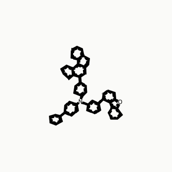 c1ccc(-c2ccc(N(c3ccc(-c4cc5ccc6ccccc6c5c5ccccc45)cc3)c3cccc(-c4cccc5oc6ccccc6c45)c3)cc2)cc1